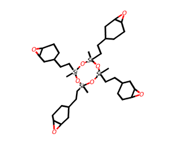 C[Si]1(CCC2CCC3OC3C2)O[Si](C)(CCC2CCC3OC3C2)O[Si](C)(CCC2CCC3OC3C2)O[Si](C)(CCC2CCC3OC3C2)O1